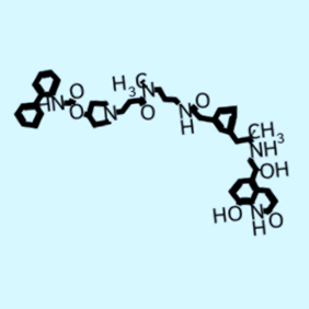 C[C@@H](Cc1cccc(CC(=O)NCCCN(C)C(=O)CCN2CCC(OC(=O)Nc3ccccc3-c3ccccc3)CC2)c1)NC[C@H](O)c1ccc(O)c2[nH]c(=O)ccc12